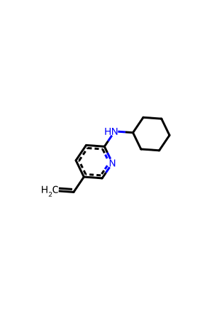 C=Cc1ccc(NC2CCCCC2)nc1